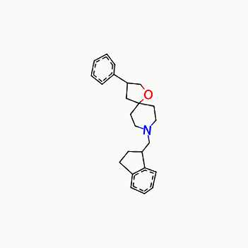 c1ccc(C2COC3(CCN(CC4CCc5ccccc54)CC3)C2)cc1